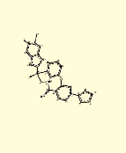 Cc1cc2nc([C@@](C)(CNC(=O)c3ccc(-n4cnnc4)cc3Cl)c3ccccc3)[nH]c2cc1C